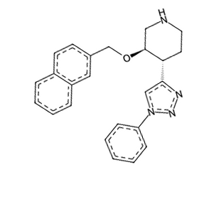 c1ccc(-n2cc([C@H]3CCNC[C@@H]3OCc3ccc4ccccc4c3)nn2)cc1